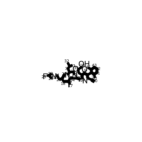 C#Cc1ncc(C(CC(=O)O)[N+]23C(=C)C2=C2C(F)=CC(CCN4CC(F)C4)=CN2C(CC(C)C)C3=O)cc1-c1c(C)cccc1C